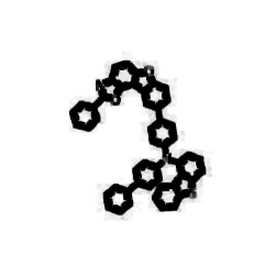 c1ccc(-c2ccc(N(c3ccc(-c4ccc5oc6ccc7nc(-c8ccccc8)oc7c6c5c4)cc3)c3cccc4sc5ccccc5c34)cc2)cc1